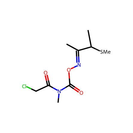 CSC(C)C(C)=NOC(=O)N(C)C(=O)CCl